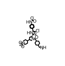 CNCC1CCC(C(=O)N2CC(C3CCN(S(C)(=O)=O)CC3)C[C@H]2c2nc(Cl)c(-c3ccc(NC(=O)OC)cc3)[nH]2)CC1